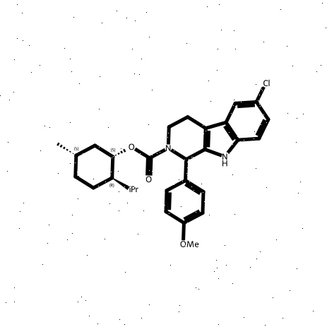 COc1ccc(C2c3[nH]c4ccc(Cl)cc4c3CCN2C(=O)O[C@H]2C[C@@H](C)CC[C@@H]2C(C)C)cc1